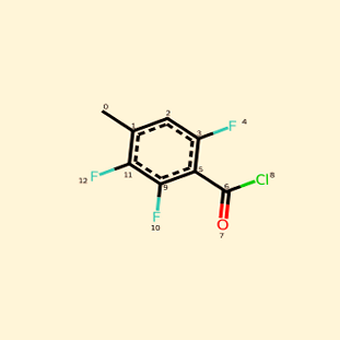 Cc1cc(F)c(C(=O)Cl)c(F)c1F